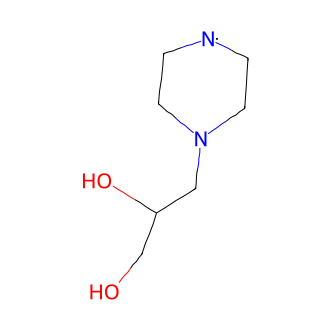 OCC(O)CN1CC[N]CC1